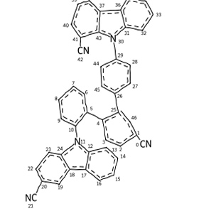 N#Cc1ccc(-c2ccccc2-n2c3ccccc3c3cc(C#N)ccc32)c(-c2ccc(-n3c4ccccc4c4cccc(C#N)c43)cc2)c1